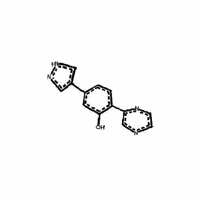 Oc1cc(-c2cn[nH]c2)ccc1-c1cn[c]cn1